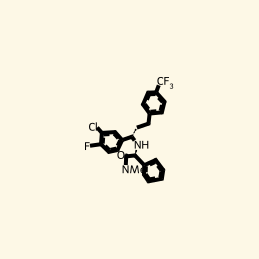 CNC(=O)[C@H](N[C@@H](CCc1ccc(C(F)(F)F)cc1)c1ccc(F)c(Cl)c1)c1ccccc1